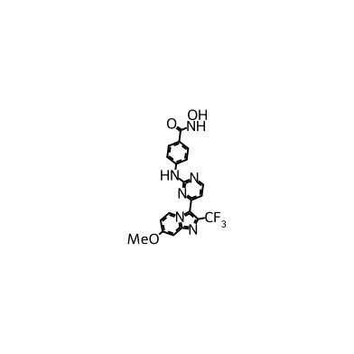 COc1ccn2c(-c3ccnc(Nc4ccc(C(=O)NO)cc4)n3)c(C(F)(F)F)nc2c1